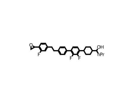 CCCC(O)C1CCC(c2ccc(-c3ccc(CCc4ccc(C5CO5)c(F)c4)cc3)c(F)c2F)CC1